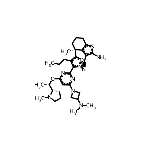 CCCc1c(-c2nc(O[C@@H](C)[C@@H]3CCCN3C)cc(N3CC(N(C)C)C3)n2)noc1[C@@]1(C)CCCc2sc(N)c(C#N)c21